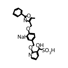 Cc1oc(-c2ccccc2)nc1COc1ccc(COc2ncccc2C(O)S(=O)(=O)O)cc1.[NaH]